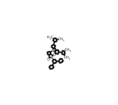 Cc1cc(C)cc(-c2ccc3c(c2)c2cc(-c4cc(C)cc(C)c4)ccc2n3-c2cccc3c2C(=O)N(c2cc(-c4ccccc4)cc(-c4ccccc4)c2)C3=O)c1